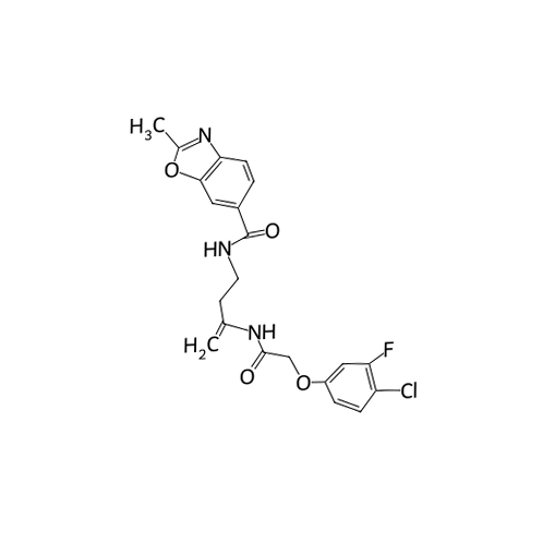 C=C(CCNC(=O)c1ccc2nc(C)oc2c1)NC(=O)COc1ccc(Cl)c(F)c1